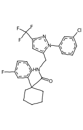 O=C(NCc1cc(C(F)(F)F)nn1-c1cccc(Cl)c1)C1(c2cccc(F)c2)CCCCC1